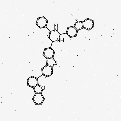 c1ccc(C2=NC(c3ccc4c(c3)sc3ccc(-c5cccc6c5oc5ccccc56)cc34)NC(c3ccc4c(c3)sc3ccccc34)N2)cc1